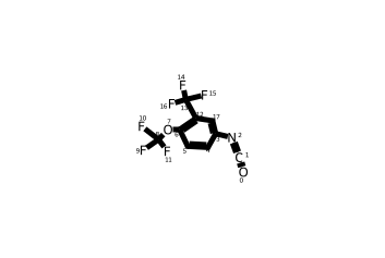 O=C=Nc1ccc(OC(F)(F)F)c(C(F)(F)F)c1